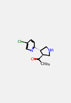 COC(=O)[C@@H]1CNC[C@H]1c1ccc(Cl)cn1